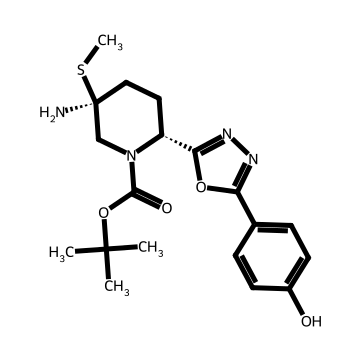 CS[C@@]1(N)CC[C@H](c2nnc(-c3ccc(O)cc3)o2)N(C(=O)OC(C)(C)C)C1